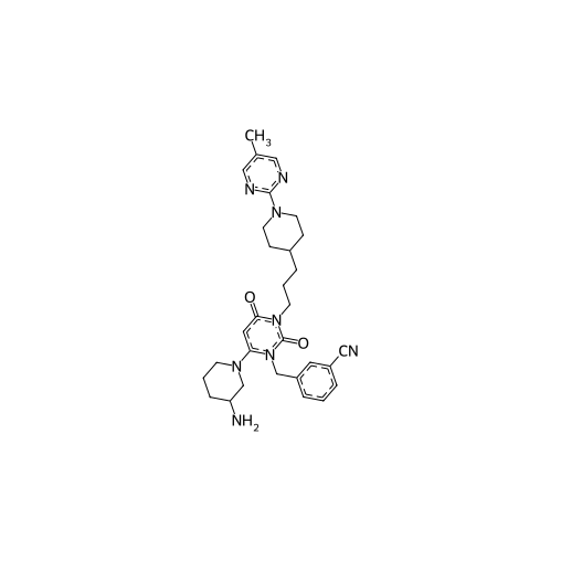 Cc1cnc(N2CCC(CCCn3c(=O)cc(N4CCCC(N)C4)n(Cc4cccc(C#N)c4)c3=O)CC2)nc1